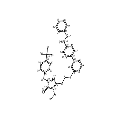 CCn1c(CCCc2cccc(-c3ccc(NSc4ccccc4)cn3)c2)nn(Cc2ccc(C(C)(C)C)cc2)c1=O